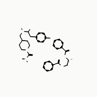 CCN(CC1CCN(C(=O)N(C)C)CC1)C(C)Cc1ccc(C(F)(F)F)cc1.O=C(O[C@@H](C(=O)O)[C@@H](OC(=O)c1ccccc1)C(=O)O)c1ccccc1